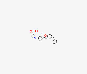 O=C(O)C1CCN(Cc2ccc(-c3cc4cc(Cc5ccccc5)ccc4o3)c(F)c2)C1